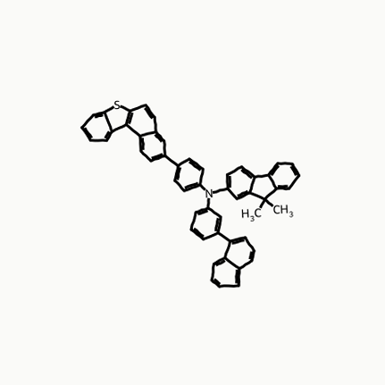 CC1(C)c2ccccc2-c2ccc(N(c3ccc(-c4ccc5c(ccc6sc7ccccc7c65)c4)cc3)c3cccc(-c4cccc5ccccc45)c3)cc21